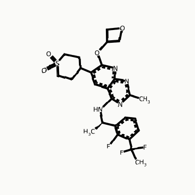 Cc1nc(N[C@H](C)c2cccc(C(C)(F)F)c2F)c2cc(C3CCS(=O)(=O)CC3)c(OC3COC3)nc2n1